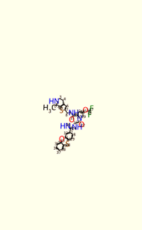 CC1NCCc2cc(CNC(=O)[C@@H]3C[C@@H](OC(F)F)CN3C(=O)CNC(=N)c3ccc4c(c3)Oc3ccccc3S4)sc21